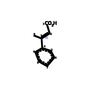 C/C(=C\C(=O)O)c1ccccc1